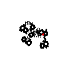 Cc1cc2c(cc1N1c3cc(C(C)(C)C)ccc3B3c4oc5cc6c(cc5c4Nc4cc(N5c7ccccc7C7(C)CCCCC57C)cc1c43)C1(CCC3(C)CCC(C)(C)c4ccccc43)CCC6(C)CC1)C(C)(C)CCC2(C)C